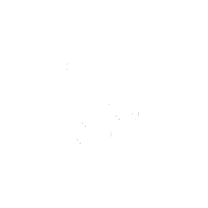 CCC1=CC=C(N(O)CC)C(=[N+]=[N-])C1